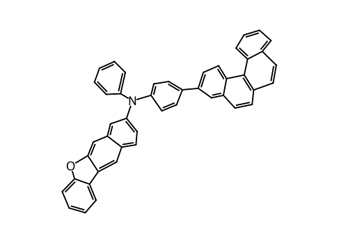 c1ccc(N(c2ccc(-c3ccc4c(ccc5ccc6ccccc6c54)c3)cc2)c2ccc3cc4c(cc3c2)oc2ccccc24)cc1